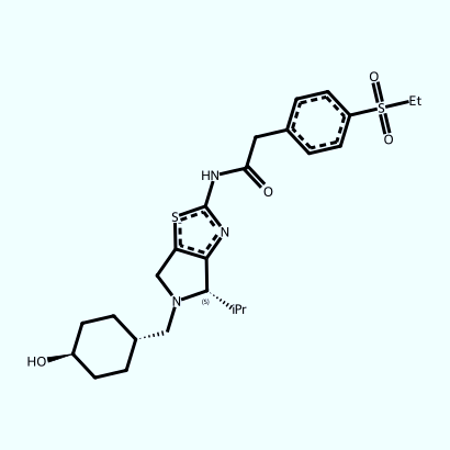 CCS(=O)(=O)c1ccc(CC(=O)Nc2nc3c(s2)CN(C[C@H]2CC[C@H](O)CC2)[C@H]3C(C)C)cc1